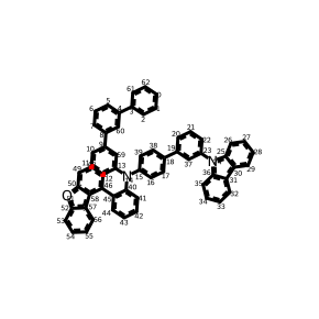 c1ccc(-c2cccc(-c3cccc(N(c4ccc(-c5cccc(-n6c7ccccc7c7ccccc76)c5)cc4)c4ccccc4-c4cccc5oc6ccccc6c45)c3)c2)cc1